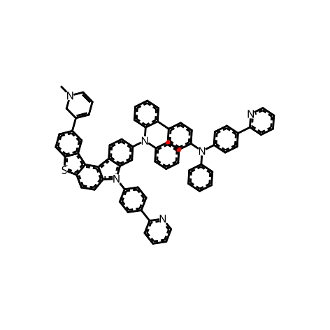 CN1C=CC=C(c2ccc3sc4ccc5c(c6ccc(N(c7ccccc7)c7ccccc7-c7ccc(N(c8ccccc8)c8ccc(-c9ccccn9)cc8)cc7)cc6n5-c5ccc(-c6ccccn6)cc5)c4c3c2)C1